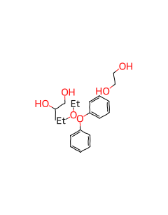 CC(O)CO.CCOCC.OCCO.c1ccc(Oc2ccccc2)cc1